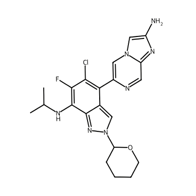 CC(C)Nc1c(F)c(Cl)c(-c2cn3cc(N)nc3cn2)c2cn(C3CCCCO3)nc12